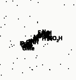 COC(=O)N[C@H](C(=O)N1CCC[C@H]1c1ncc(-c2cnc(-c3ccc(-c4cnc([C@@H]5CCCN5C(=O)[C@@H](NC(=O)O)C(C)C)[nH]4)c(F)c3)nc2)[nH]1)C(C)C